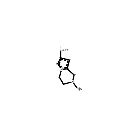 CCCCN1CCn2cc(C(=O)OCC)cc2C1